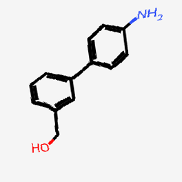 Nc1ccc(-c2cccc(CO)c2)cc1